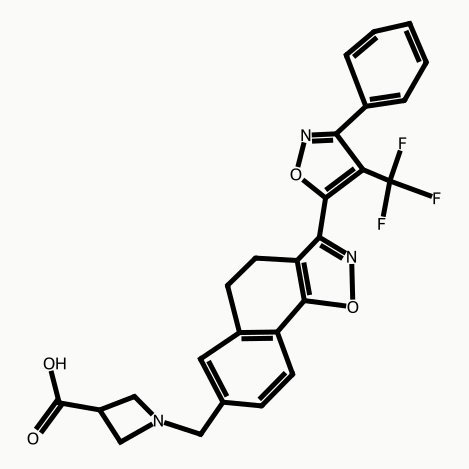 O=C(O)C1CN(Cc2ccc3c(c2)CCc2c(-c4onc(-c5ccccc5)c4C(F)(F)F)noc2-3)C1